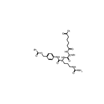 CCC(=O)CCCCC(=O)N[C@H](C(=O)N[C@@H](CCCNC(N)=O)C(=O)Nc1ccc(COC(=O)C(C)C)cc1)C(C)C